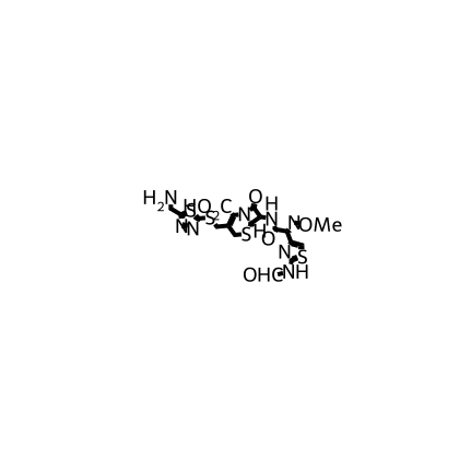 CON=C(C(=O)NC1C(=O)N2C(C(=O)O)=C(CSc3nnc(CN)s3)CS[C@@H]12)c1csc(NC=O)n1